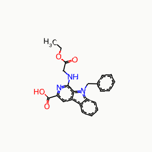 CCOC(=O)CNc1nc(C(=O)O)cc2c3ccccc3n(Cc3ccccc3)c12